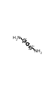 C[N+]1=C(c2ccc(C3=[N+](C)C(C=CN)CS3)cc2)SCC1C=CN